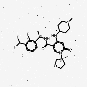 C[C@@H](NC(=O)c1cn([C@@]2(C)CCOC2)c(=O)cc1NC1CCN(C)CC1)c1cccc(C(F)F)c1F